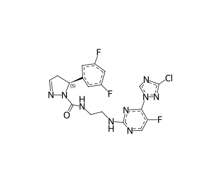 O=C(NCCNc1ncc(F)c(-n2cnc(Cl)n2)n1)N1N=CC[C@H]1c1cc(F)cc(F)c1